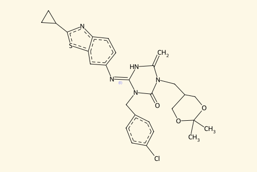 C=C1N/C(=N\c2ccc3nc(C4CC4)sc3c2)N(Cc2ccc(Cl)cc2)C(=O)N1CC1COC(C)(C)OC1